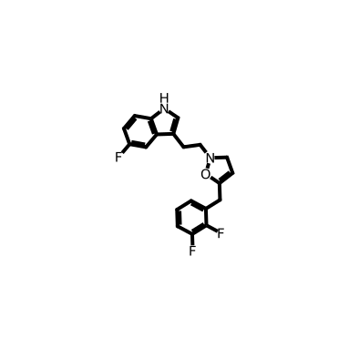 Fc1ccc2[nH]cc(CCN3CC=C(Cc4cccc(F)c4F)O3)c2c1